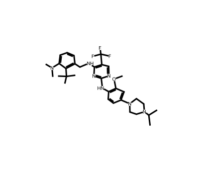 COc1cc(N2CCN(C(C)C)CC2)ccc1Nc1ncc(C(F)(F)F)c(NCc2cccc(N(C)C)c2C(C)(C)C)n1